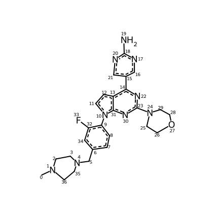 CN1CCN(Cc2ccc(-n3ccc4c(-c5cnc(N)nc5)nc(N5CCOCC5)nc43)c(F)c2)CC1